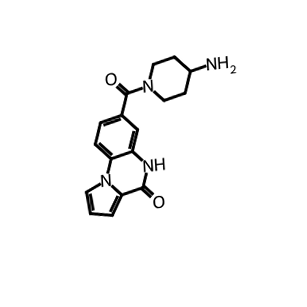 NC1CCN(C(=O)c2ccc3c(c2)[nH]c(=O)c2cccn23)CC1